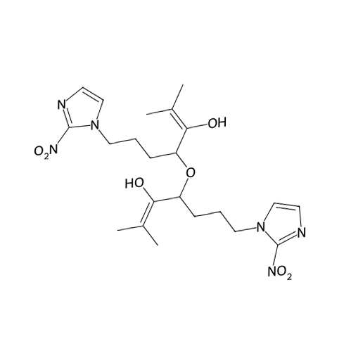 CC(C)=C(O)C(CCCn1ccnc1[N+](=O)[O-])OC(CCCn1ccnc1[N+](=O)[O-])C(O)=C(C)C